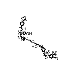 Cc1ncsc1-c1ccc([C@H](C)NC(=O)[C@@H]2C[C@@H](O)CN2C(=O)[C@H](N(C)C)n2cc(OCCCOCCC(O)CCOc3ccc(N4C(=S)N(c5ccc(C#N)c(C(F)(F)F)c5)C(=O)C4(C)C)cc3)cn2)cc1